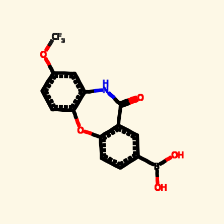 O=C1Nc2cc(OC(F)(F)F)ccc2Oc2ccc(B(O)O)cc21